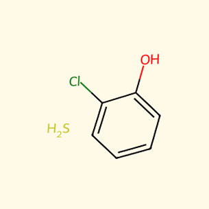 Oc1ccccc1Cl.S